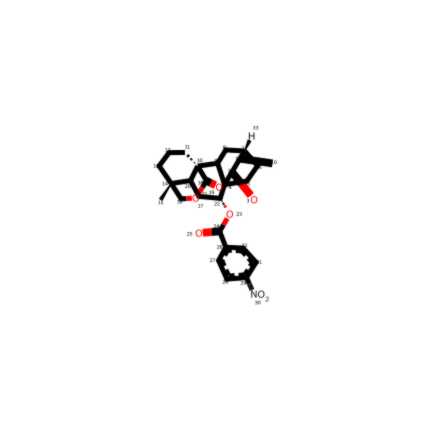 C=C1C(=O)C23CC[C@H]1CC2[C@@]12CCC[C@@](C)(COC1=O)C2C[C@H]3OC(=O)c1ccc([N+](=O)[O-])cc1